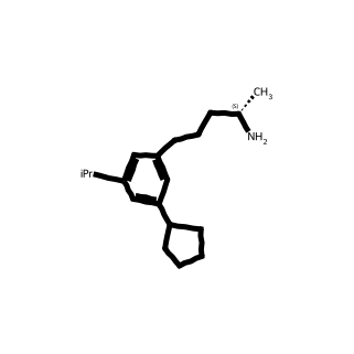 CC(C)c1cc(CCC[C@H](C)N)cc(C2CCCC2)c1